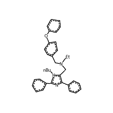 CCCCn1c(-c2ccccc2)nc(-c2ccccc2)c1CN(CC)Cc1ccc(Oc2ccccc2)cc1